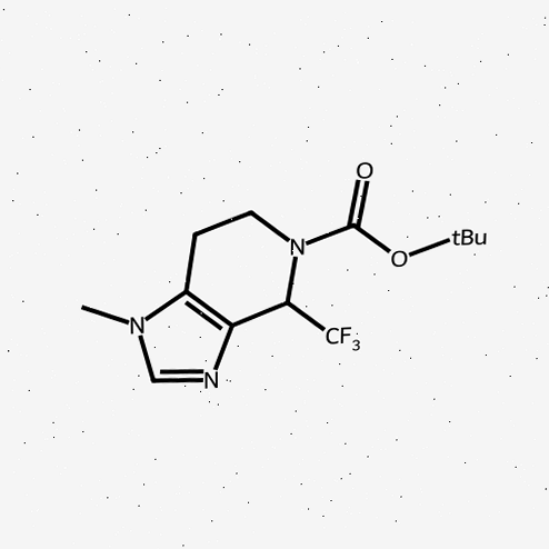 Cn1cnc2c1CCN(C(=O)OC(C)(C)C)C2C(F)(F)F